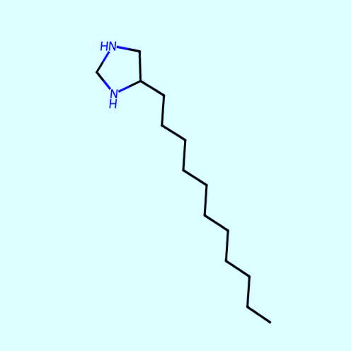 CCCCCCCCCCCC1CNCN1